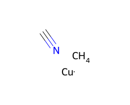 C.C#N.[Cu]